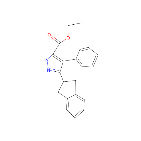 CCOC(=O)c1[nH]nc(C2Cc3ccccc3C2)c1-c1ccccc1